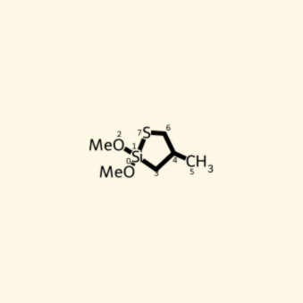 CO[Si]1(OC)CC(C)CS1